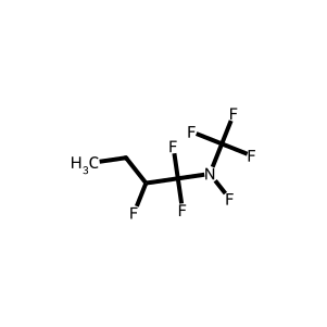 CCC(F)C(F)(F)N(F)C(F)(F)F